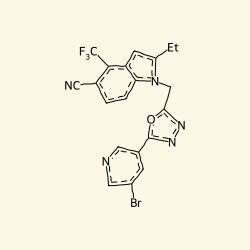 CCc1cc2c(C(F)(F)F)c(C#N)ccc2n1Cc1nnc(-c2cncc(Br)c2)o1